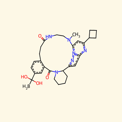 BC(O)(O)c1ccc2c(c1)C(=O)N1CCCCC1c1cc3nc(C4CCC4)cc(n3n1)N(C)CCNC(=O)CC2